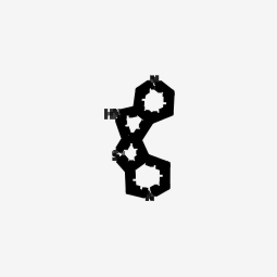 c1cc2c(cn1)[nH]c1sc3cnccc3c12